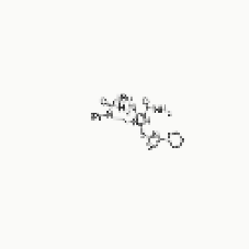 CC(C)N(CCCn1c(Sc2nc(-c3ccccc3)cs2)nc(C(N)=O)c1N)C(=O)OC(C)(C)C